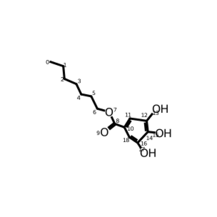 CCCCCCCOC(=O)c1cc(O)c(O)c(O)c1